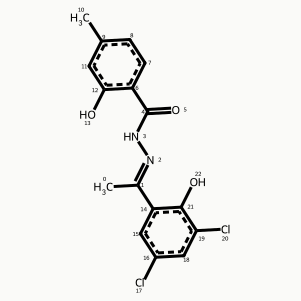 C/C(=N\NC(=O)c1ccc(C)cc1O)c1cc(Cl)cc(Cl)c1O